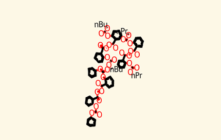 CCCCOC(=O)Oc1ccccc1C(=O)OOC(=O)c1ccccc1OC(=O)OCCCC.CCCOC(=O)Oc1ccccc1C(=O)OOC(=O)c1ccccc1OC(=O)OCCC.O=C(Oc1ccccc1)Oc1ccccc1C(=O)OOC(=O)c1ccccc1OC(=O)Oc1ccccc1